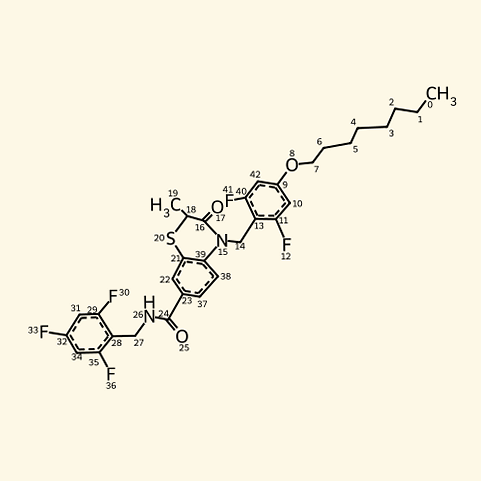 CCCCCCCCOc1cc(F)c(CN2C(=O)C(C)Sc3cc(C(=O)NCc4c(F)cc(F)cc4F)ccc32)c(F)c1